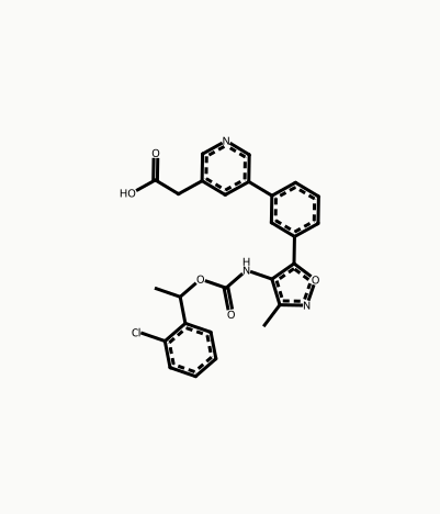 Cc1noc(-c2cccc(-c3cncc(CC(=O)O)c3)c2)c1NC(=O)OC(C)c1ccccc1Cl